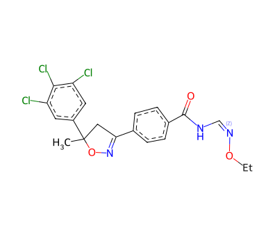 CCO/N=C\NC(=O)c1ccc(C2=NOC(C)(c3cc(Cl)c(Cl)c(Cl)c3)C2)cc1